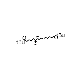 CC(C)(C)OCCCCCCCCOC(=O)CCCCC(=O)C(C)(C)C